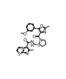 COc1cccc(-c2oc(C)nc2C(=O)N2CCC[C@H]2CNC(=O)c2c(C)nc3sccn23)c1